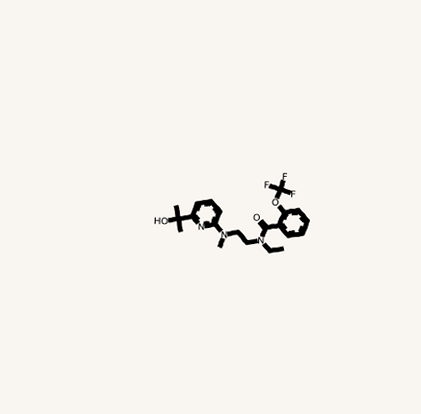 CCN(CCN(C)c1cccc(C(C)(C)O)n1)C(=O)c1ccccc1OC(F)(F)F